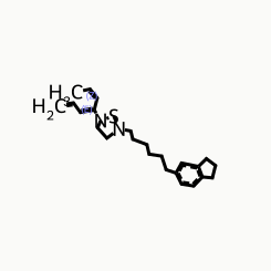 C=C/C=C(\C=C/C)N1CCN(CCCCCCc2ccc3c(c2)CCC3)S1